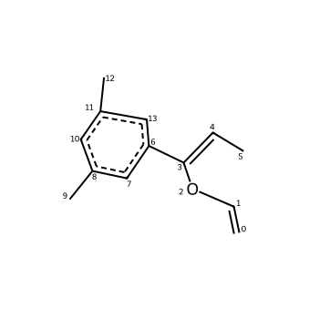 C=CO/C(=C\C)c1cc(C)cc(C)c1